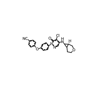 N#Cc1ccc(Oc2ccc(-n3ncc(N[C@@H]4C5CCOC[C@@H]54)c(Cl)c3=O)cc2)cc1